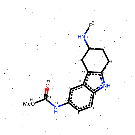 CCNC1CCc2[nH]c3ccc(NC(=O)OC)cc3c2C1